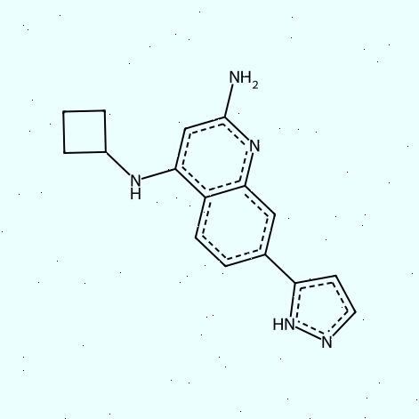 Nc1cc(NC2CCC2)c2ccc(-c3ccn[nH]3)cc2n1